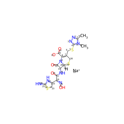 Cc1nnc(SCC2=C(C(=O)[O-])N3C(=O)C(NC(=O)C(=NO)c4csc(=N)[nH]4)[C@@H]3SC2)n1C.[Na+]